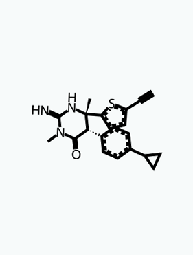 C#Cc1ccc([C@@]2(C)NC(=N)N(C)C(=O)[C@H]2c2ccc(C3CC3)cc2)s1